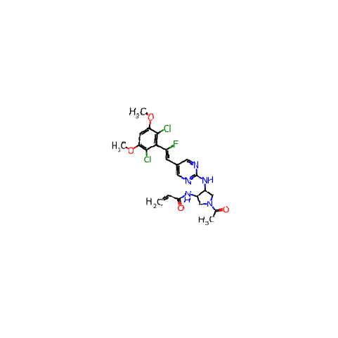 C=CC(=O)NC1CN(C(C)=O)CC1Nc1ncc(/C=C(\F)c2c(Cl)c(OC)cc(OC)c2Cl)cn1